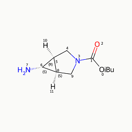 CC(C)COC(=O)N1C[C@@H]2[C@@H](N)[C@@H]2C1